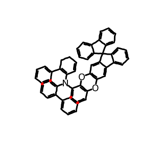 C1=CC(N(c2ccccc2-c2ccccc2)c2cccc3c2Oc2cc4c(cc2O3)-c2ccccc2C42c3ccccc3-c3ccccc32)=C(c2ccccc2)CC1